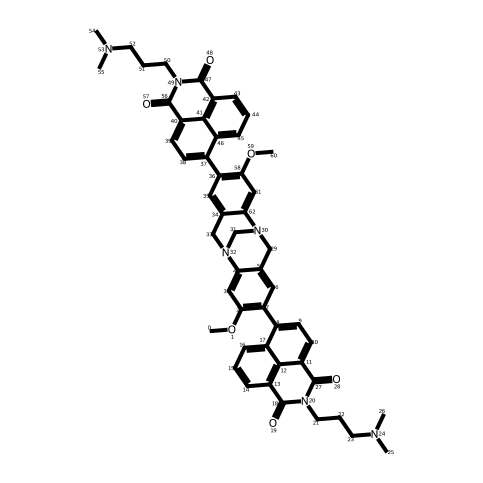 COc1cc2c(cc1-c1ccc3c4c(cccc14)C(=O)N(CCCN(C)C)C3=O)CN1CN2Cc2cc(-c3ccc4c5c(cccc35)C(=O)N(CCCN(C)C)C4=O)c(OC)cc21